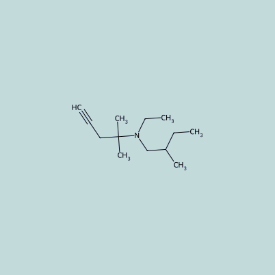 C#CCC(C)(C)N(CC)CC(C)CC